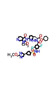 COCc1ncc(-c2ccc(S(=O)(=O)Nc3cc(F)c(C(=O)N[C@@H](Cc4ccc(-n5c(=O)c6ccncc6n(C)c5=O)nc4)C(=O)OC4CCCCC4)cc3F)cc2)cn1